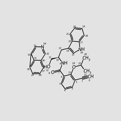 C#Cc1cccc(C(=O)N[C@@H](CO)Cc2c[nH]c3ccccc23)c1OC(C)C.c1cc2c3c-2cncc3c1